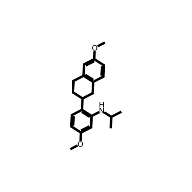 COc1ccc2c(c1)CCC(c1ccc(OC)cc1NC(C)C)C2